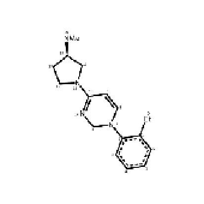 CCc1ccccc1N1C=CC(N2CC[C@@H](NC)C2)=NC1